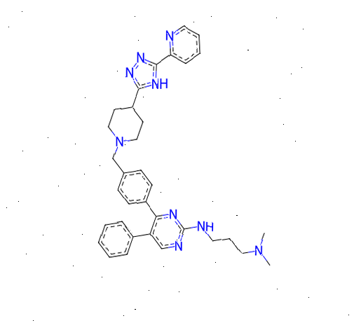 CN(C)CCCNc1ncc(-c2ccccc2)c(-c2ccc(CN3CCC(c4nnc(-c5ccccn5)[nH]4)CC3)cc2)n1